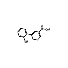 OBC1=CCCC(c2ccccc2S)=C1